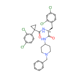 O=C(NC1CCN(Cc2ccccc2)CC1)[C@H](Cc1ccc(Cl)cc1Cl)NC(=O)C1(c2ccc(Cl)cc2Cl)CC1